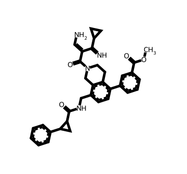 COC(=O)c1cccc(-c2ccc(CNC(=O)C3CC3c3ccccc3)c3c2CCN(C(=O)/C(=C/N)C(=N)C2CC2)C3)c1